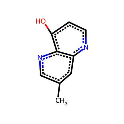 Cc1cnc2c(O)ccnc2c1